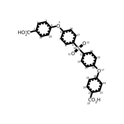 O=C(O)c1ccc(Oc2ccc(S(=O)(=O)c3ccc(Oc4ccc(C(=O)O)cc4)cc3)cc2)cc1